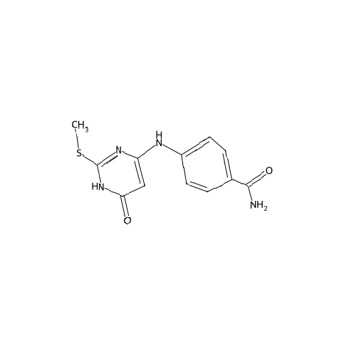 CSc1nc(Nc2ccc(C(N)=O)cc2)cc(=O)[nH]1